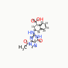 CC(=O)n1cnc2c(=O)[nH]c(NC(CCC(=O)O)Cc3ccccc3)nc21